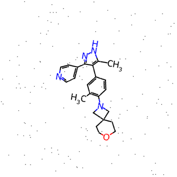 Cc1cc(-c2c(-c3ccncc3)n[nH]c2C)ccc1N1CC2(CCOCC2)C1